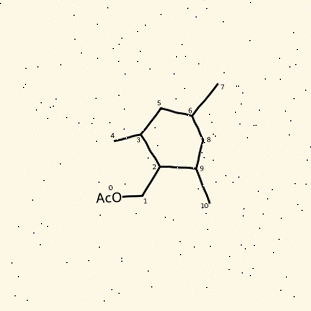 CC(=O)OCC1C(C)CC(C)CC1C